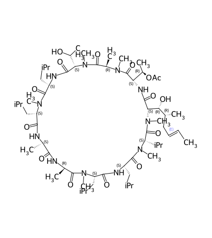 C/C=C/C[C@@H](C)[C@@H](O)[C@H]1C(=O)N[C@@H]([C@@H](C)OC(C)=O)C(=O)N(C)[C@H](C)C(=O)N(C)[C@@H](C(C)O)C(=O)N[C@@H](CC(C)C)C(=O)N(C)[C@@H](CC(C)C)C(=O)N[C@@H](C)C(=O)N[C@H](C)C(=O)N(C)[C@@H](CC(C)C)C(=O)N[C@@H](CC(C)C)C(=O)N(C)[C@@H](C(C)C)C(=O)N1C